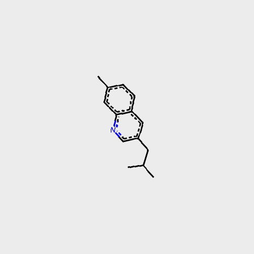 Cc1ccc2cc(CC(C)C)cnc2c1